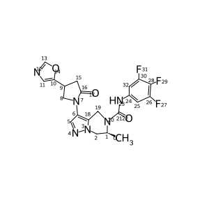 C[C@H]1Cn2ncc(N3CC(c4cnco4)CC3=O)c2CN1C(=O)Nc1cc(F)c(F)c(F)c1